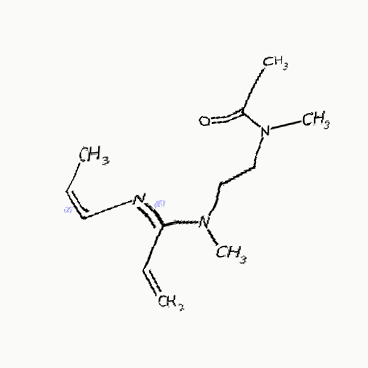 C=C/C(=N\C=C/C)N(C)CCN(C)C(C)=O